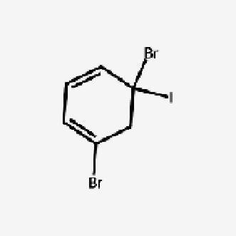 BrC1=CC=CC(Br)(I)C1